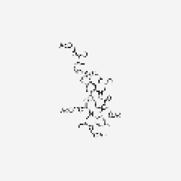 CC(=O)OCOC(=O)CN(CC(=O)OCOC(C)=O)c1ccc(C)cc1OCCOc1cc2cc(-c3ncc(C(=O)OCOC(C)=O)o3)oc2cc1N(CC(=O)OCOC(C)=O)CC(=O)OCOC(C)=O